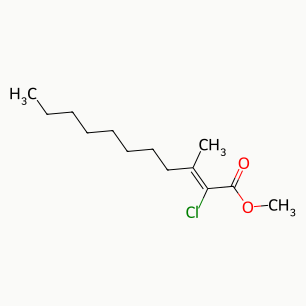 CCCCCCCC/C(C)=C(\Cl)C(=O)OC